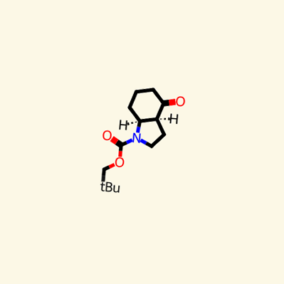 CC(C)(C)COC(=O)N1CC[C@@H]2C(=O)CCC[C@@H]21